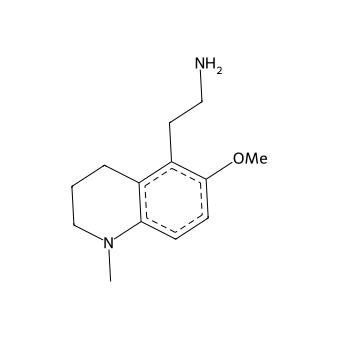 COc1ccc2c(c1CCN)CCCN2C